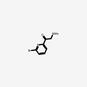 CNCC(=O)c1cccc(Br)n1